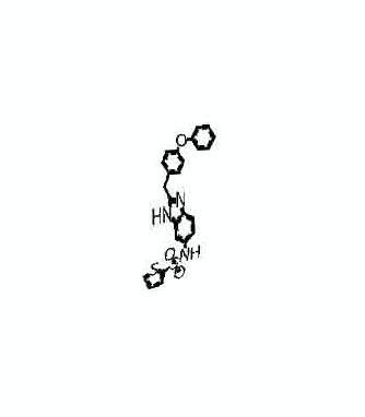 O=S(=O)(Nc1ccc2nc(Cc3ccc(Oc4ccccc4)cc3)[nH]c2c1)c1cccs1